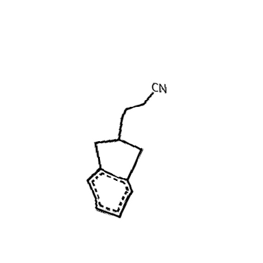 N#CCCC1Cc2ccccc2C1